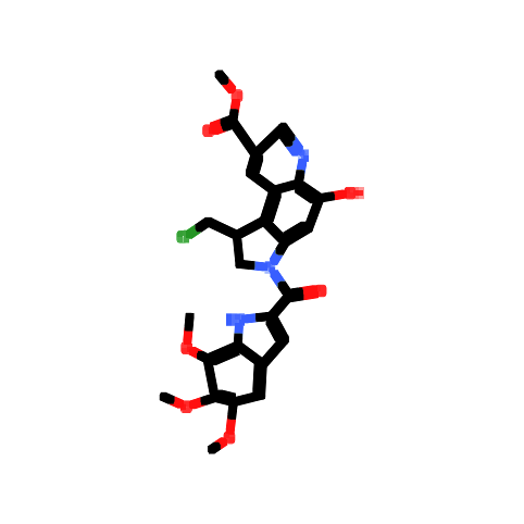 COC(=O)c1cnc2c(O)cc3c(c2c1)C(CCl)CN3C(=O)c1cc2cc(OC)c(OC)c(OC)c2[nH]1